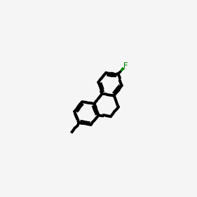 Cc1ccc2c(c1)CCc1cc(F)ccc1-2